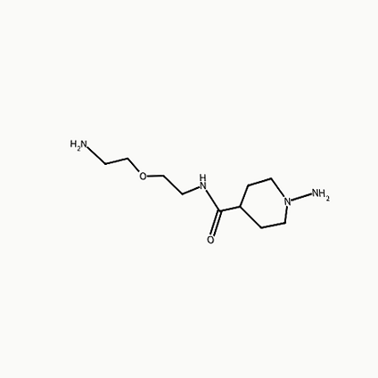 NCCOCCNC(=O)C1CCN(N)CC1